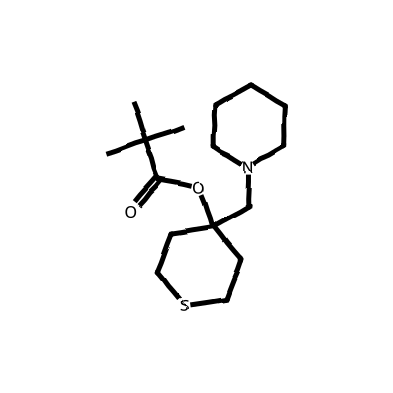 CC(C)(C)C(=O)OC1(CN2CCCCC2)CCSCC1